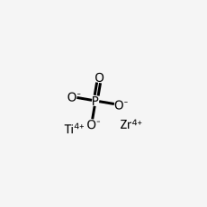 O=P([O-])([O-])[O-].[Ti+4].[Zr+4]